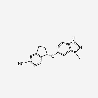 Cc1n[nH]c2ccc(O[C@H]3CCc4cc(C#N)ccc43)cc12